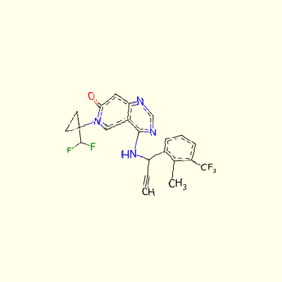 C#CC(Nc1ncnc2cc(=O)n(C3(C(F)F)CC3)cc12)c1cccc(C(F)(F)F)c1C